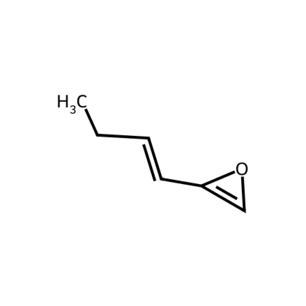 CCC=CC1=CO1